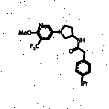 COc1ncc(N2CCC(NC(=O)Cc3ccc(C(C)C)cc3)C2)cc1C(F)(F)F